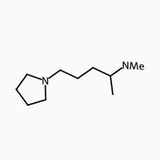 CNC(C)CCCN1CCCC1